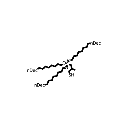 CCCCCCCCCCCCCCCCCCO[Si](CC(C)CS)(OCCCCCCCCCCCCCCCCCC)OCCCCCCCCCCCCCCCCCC